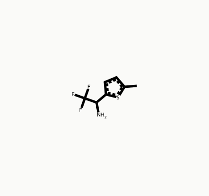 Cc1ccc(C(N)C(F)(F)F)s1